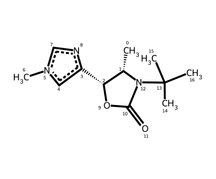 C[C@H]1[C@@H](c2cn(C)cn2)OC(=O)N1C(C)(C)C